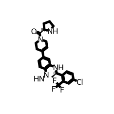 C[C@@H](Nc1cc(C2=CCN(C(=O)[C@H]3CCCN3)CC2)ccc1N=N)c1ccc(Cl)cc1C(F)(F)F